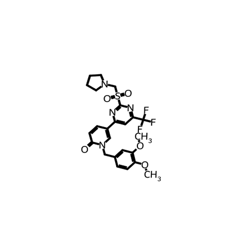 COc1ccc(Cn2cc(-c3cc(C(F)(F)F)nc(S(=O)(=O)CN4CCCC4)n3)ccc2=O)cc1OC